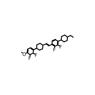 CCC1CCC(c2ccc(/C=C/C3CCC(C4=CC=C(OC)C(F)C4F)CC3)c(F)c2F)CC1